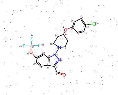 O=Cc1nn(N2CCC(Oc3ccc(Cl)cc3)CC2)c2cc(OC(F)(F)F)ccc12